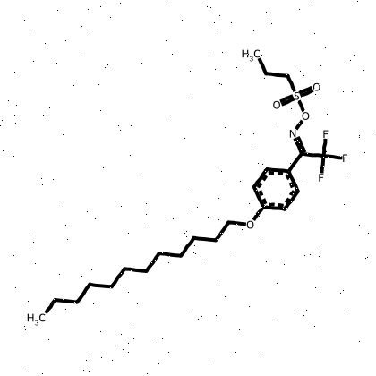 CCCCCCCCCCCCOc1ccc(C(=NOS(=O)(=O)CCC)C(F)(F)F)cc1